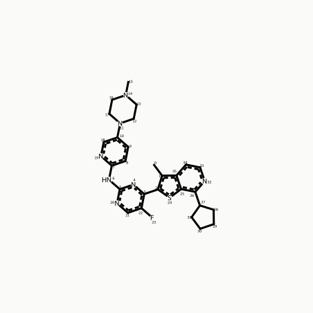 Cc1c(-c2nc(Nc3ccc(N4CCN(C)CC4)cn3)ncc2F)sc2c(C3CCCC3)nccc12